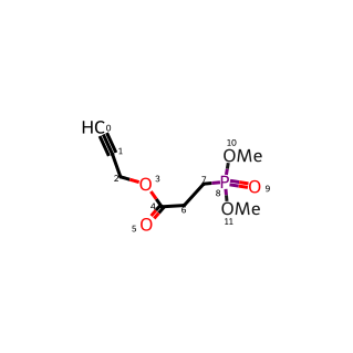 C#CCOC(=O)CCP(=O)(OC)OC